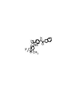 CC(CC(=O)NC1(c2ccc(NC(=O)N3Cc4ccncc4C3)cc2)COC1)S(C)(=O)=O